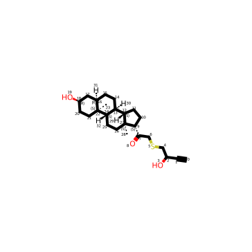 C#CC(O)CSCC(=O)[C@H]1CC[C@H]2[C@@H]3CC[C@@H]4C[C@H](O)CC[C@]4(C)[C@H]3CC[C@]12C